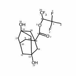 CC(F)(F)C(OC(=O)C12CC3CC(O)(CC(O)(C3)C1)C2)C(F)(F)F